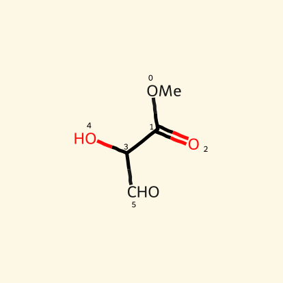 COC(=O)C(O)C=O